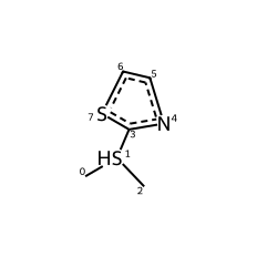 C[SH](C)c1nccs1